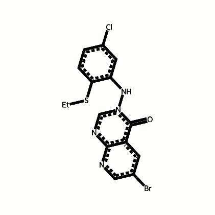 CCSc1ccc(Cl)cc1Nn1cnc2ncc(Br)cc2c1=O